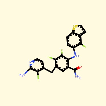 NC(=O)c1cc(Cc2ccnc(N)c2F)c(F)c(F)c1Nc1ccc2sccc2c1F